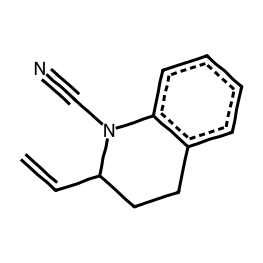 C=CC1CCc2ccccc2N1C#N